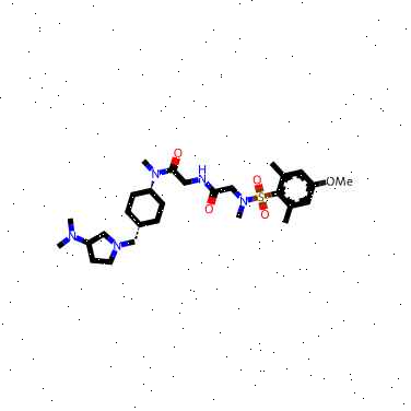 COc1cc(C)c(S(=O)(=O)N(C)CC(=O)NCC(=O)N(C)[C@H]2CC[C@@H](CN3CCC(N(C)C)C3)CC2)c(C)c1